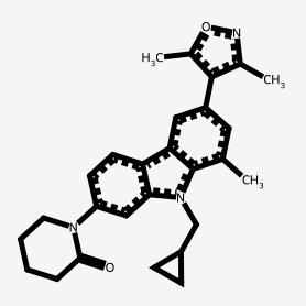 Cc1noc(C)c1-c1cc(C)c2c(c1)c1ccc(N3CCCCC3=O)cc1n2CC1CC1